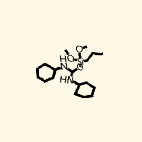 CCC[Si](OC)(OC)OC(NC1CCCCC1)NC1CCCCC1